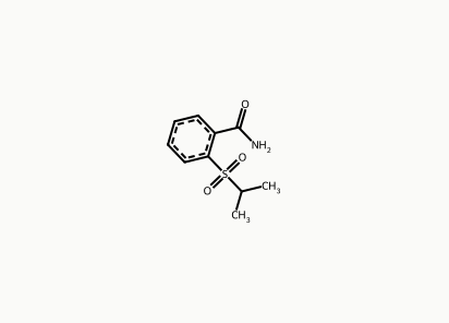 CC(C)S(=O)(=O)c1ccccc1C(N)=O